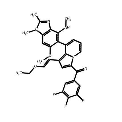 CCOC=Cc1cc(C(=O)c2cc(F)c(F)c(F)c2)n2cccc(-c3c(OC)cc4c(nc(C)n4C)c3NC)c12